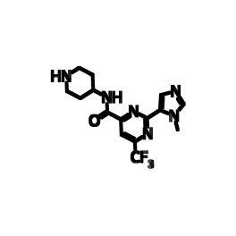 Cn1cncc1-c1nc(C(=O)NC2CCNCC2)cc(C(F)(F)F)n1